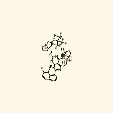 C#Cc1c(F)ccc2cccc(-c3nc4c5c(nc(OC[C@]67CCCN6C[C@@H](OC(C(F)(F)F)(C(F)(F)F)C(F)(F)F)C7)nc5c3F)N3C[C@H]5CC[C@H](N5)[C@H]3CC4)c12